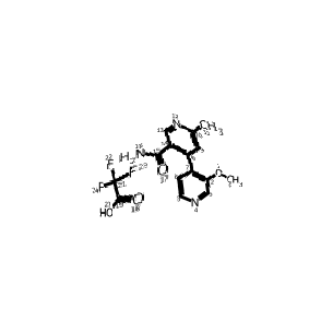 COc1cnccc1-c1cc(C)ncc1C(N)=O.O=C(O)C(F)(F)F